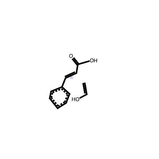 C=CO.O=C(O)/C=C/c1ccccc1